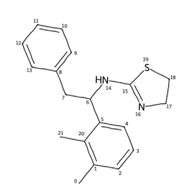 Cc1cccc(C(Cc2ccccc2)NC2=NCCS2)c1C